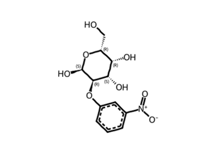 O=[N+]([O-])c1cccc(O[C@@H]2[C@@H](O)[C@@H](O)[C@@H](CO)O[C@@H]2O)c1